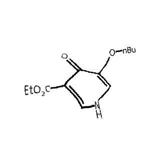 CCCCOc1c[nH]cc(C(=O)OCC)c1=O